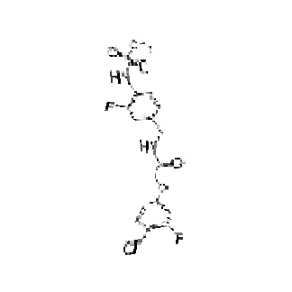 CS(=O)(=O)Nc1ccc(CNC(=O)COc2ccc(Cl)c(F)c2)cc1F